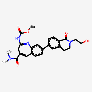 CCCN(CCC)C(=O)C1=Cc2ccc(-c3ccc4c(c3)CCN(CCO)C4=O)cc2N=C(NC(=O)OC(C)(C)C)C1